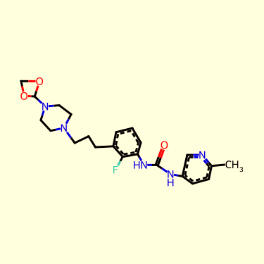 Cc1ccc(NC(=O)Nc2cccc(CCCN3CCN(C4OCO4)CC3)c2F)cn1